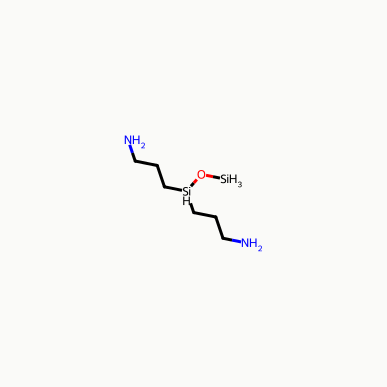 NCCC[SiH](CCCN)O[SiH3]